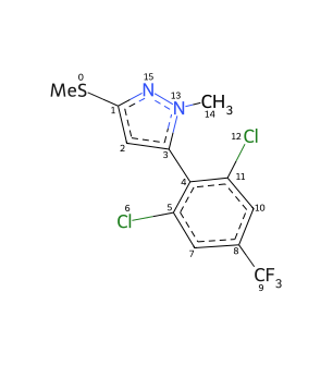 CSc1cc(-c2c(Cl)cc(C(F)(F)F)cc2Cl)n(C)n1